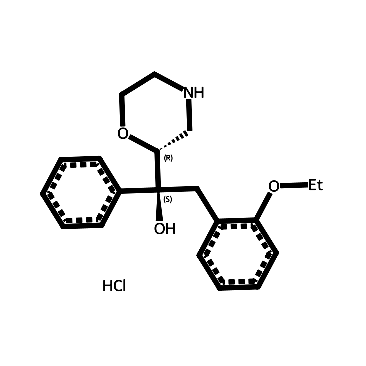 CCOc1ccccc1C[C@](O)(c1ccccc1)[C@H]1CNCCO1.Cl